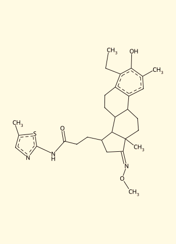 CCc1c(O)c(C)cc2c1CCC1C2CCC2(C)/C(=N/OC)CC(CCC(=O)Nc3ncc(C)s3)C12